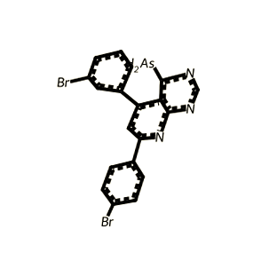 [AsH2]c1ncnc2nc(-c3ccc(Br)cc3)cc(-c3cccc(Br)c3)c12